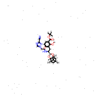 COc1c(CC(NC(=O)Cn2cnc(C#N)n2)B2O[C@@H]3C[C@@H]4C[C@@H](C4(C)C)[C@]3(C)O2)cccc1C(=O)OC(C)(C)C